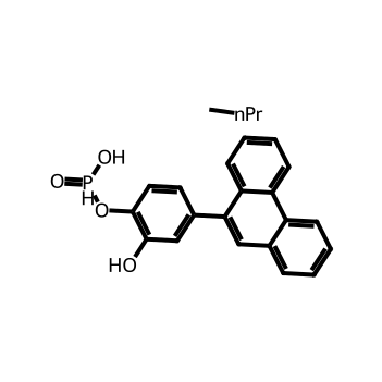 CCCC.O=[PH](O)Oc1ccc(-c2cc3ccccc3c3ccccc23)cc1O